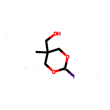 CC1(CO)COB(I)OC1